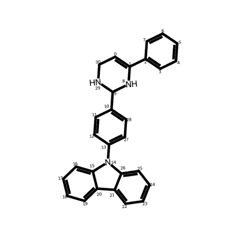 C1=C(c2ccccc2)NC(c2ccc(-n3c4ccccc4c4ccccc43)cc2)NC1